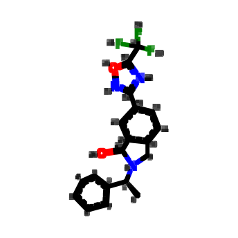 C[C@@H](c1ccccc1)N1Cc2ccc(-c3noc(C(F)(F)F)n3)cc2C1=O